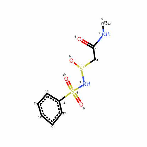 CCCCNC(=O)C[S+]([O-])NS(=O)(=O)c1ccccc1